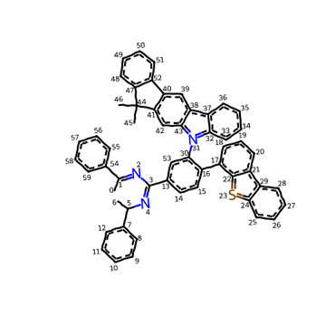 C/C(=N\C(=N/C(C)c1ccccc1)c1ccc(-c2cccc3c2sc2ccccc23)c(-n2c3ccccc3c3cc4c(cc32)C(C)(C)c2ccccc2-4)c1)c1ccccc1